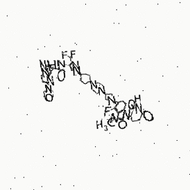 Cn1c(=O)n(C2CCC(=O)NC2=O)c2ccc(N3CC(N4CCN([C@H]5CC[C@H](n6cc(NC(=O)c7cnn8ccc(N9CCOCC9)nc78)c(C(F)F)n6)CC5)CC4)C3)c(F)c21